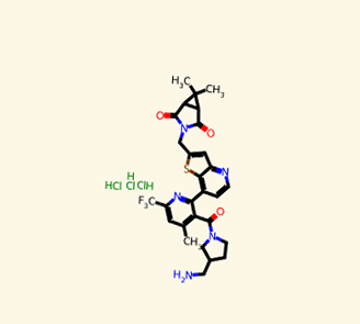 Cc1cc(C(F)(F)F)nc(-c2ccnc3cc(CN4C(=O)C5C(C4=O)C5(C)C)sc23)c1C(=O)N1CCC(CN)C1.Cl.Cl.Cl